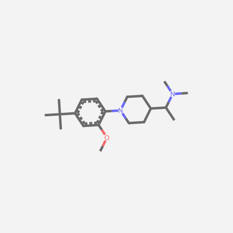 COc1cc(C(C)(C)C)ccc1N1CCC(C(C)N(C)C)CC1